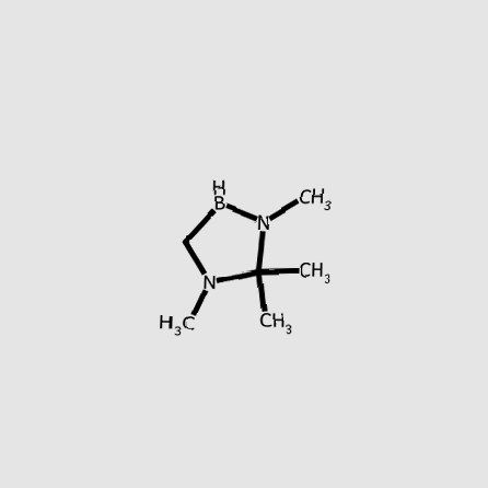 CN1BCN(C)C1(C)C